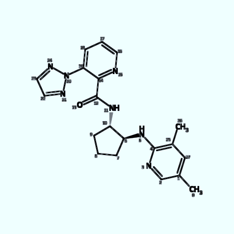 Cc1cnc(N[C@H]2CCC[C@@H]2NC(=O)c2ncccc2-n2nccn2)c(C)c1